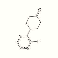 O=C1CCC(c2nccnc2F)CC1